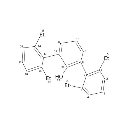 CCc1cccc(CC)c1-c1cccc(-c2c(CC)cccc2CC)c1O